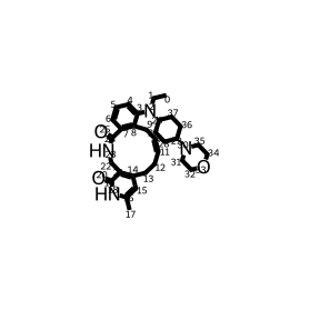 CCN(c1cccc2c1CC=CCCc1cc(C)[nH]c(=O)c1CNC2=O)[C@H]1CC[C@@H](N2CCOCC2)CC1